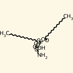 CCCCCCCCCCCCCCCC(=O)OC[C@@H](COP(=O)(O)OCCN)OC(=O)CCCCCCCCCCCCCCC